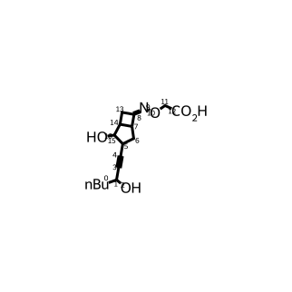 CCCCC(O)C#CC1CC2C(=NOCC(=O)O)CC2C1O